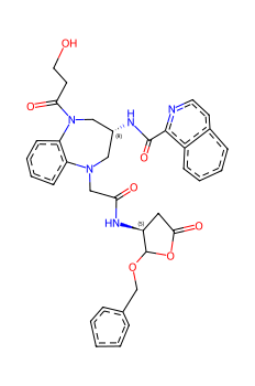 O=C(CN1C[C@@H](NC(=O)c2nccc3ccccc23)CN(C(=O)CCO)c2ccccc21)N[C@H]1CC(=O)OC1OCc1ccccc1